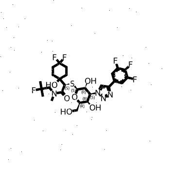 CN(CC(C)(C)F)C(=O)[C@@H](S[C@@H]1O[C@H](CO)[C@H](O)[C@H](n2cc(-c3cc(F)c(F)c(F)c3)nn2)[C@H]1O)C1(O)CCC(F)(F)CC1